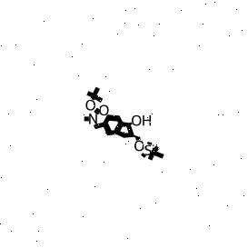 CN(Cc1ccc2c(c1)C[C@H](CO[Si](C)(C)C(C)(C)C)[C@@H]2O)C(=O)OC(C)(C)C